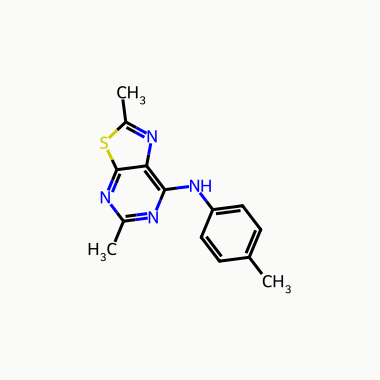 Cc1ccc(Nc2nc(C)nc3sc(C)nc23)cc1